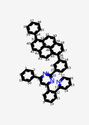 c1ccc(-c2cc(-c3ccccc3-c3ccccn3)nc(-c3cccc(-c4ccc5ccc6c(-c7ccccc7)ccc7ccc4c5c76)c3)n2)cc1